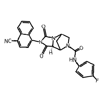 N#Cc1ccc(N2C(=O)[C@@H]3C4CC(CN4C(=O)Nc4ccc(F)cc4)N3C2=O)c2ccccc12